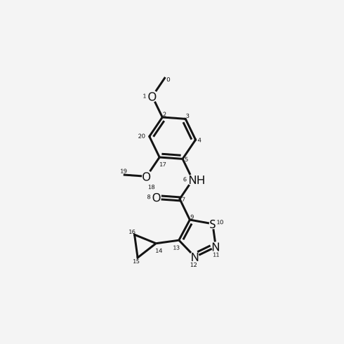 COc1ccc(NC(=O)c2snnc2C2CC2)c(OC)c1